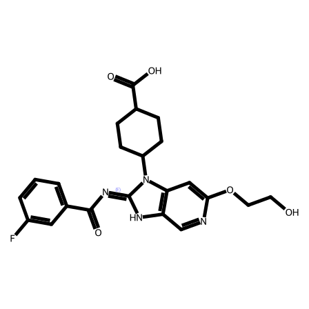 O=C(/N=c1\[nH]c2cnc(OCCO)cc2n1C1CCC(C(=O)O)CC1)c1cccc(F)c1